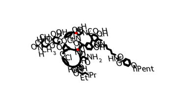 CCCCCOc1ccc(S(=O)(=O)NCCCCCNCc2c(O)cc3c(c2O)-c2cc(ccc2O)[C@H]2CC(=O)[C@@H]4NC(=O)[C@H](CC(N)=O)CC(=O)[C@H](NC(=O)[C@H](CC)CC(C)C)[C@H](O)c5ccc(c(Cl)c5)Oc5cc4cc(c5O[C@@H]4O[C@H](CO)[C@@H](O)[C@H](O)[C@H]4O[C@H]4C[C@]5(C)NC(=O)O[C@@H]5[C@H](C)O4)Oc4ccc(cc4Cl)[C@@H](O)[C@H](NC2=O)C(=O)N[C@@H]3C(=O)O)cc1